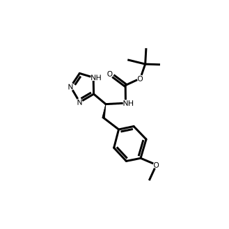 COc1ccc(C[C@H](NC(=O)OC(C)(C)C)c2nnc[nH]2)cc1